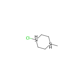 C[SiH]1CC[SiH](Cl)CC1